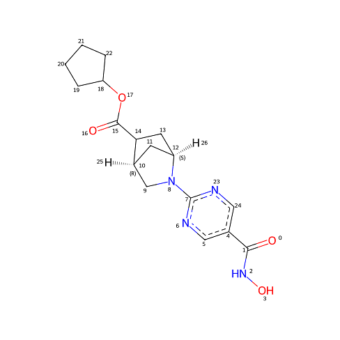 O=C(NO)c1cnc(N2C[C@@H]3C[C@H]2CC3C(=O)OC2CCCC2)nc1